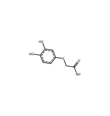 [NH]C(=O)CSc1ccc(O)c(O)c1